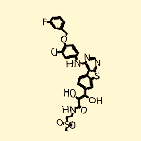 CS(=O)(=O)CCNC(=O)C(O)C(O)c1ccc2c(c1)sc1ncnc(Nc3ccc(OCc4cccc(F)c4)c(Cl)c3)c12